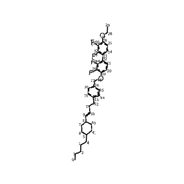 CCCCCC1CCC(/C=C/CCc2ccc(COc3ccc(-c4ccc(OCC)c(F)c4F)c(F)c3F)cc2)CC1